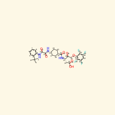 CC(C)(C)c1ccccc1NC(=O)C(=O)N[C@H]1CC[C@H](C(=O)N[C@@H](CC(=O)O)C(=O)COc2c(F)c(F)cc(F)c2F)CC1